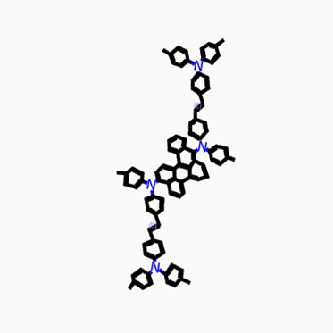 Cc1ccc(N(c2ccc(C)cc2)c2ccc(/C=C/c3ccc(N(c4ccc(C)cc4)c4ccc5c6c4cccc6c4cccc6c(N(c7ccc(C)cc7)c7ccc(/C=C/c8ccc(N(c9ccc(C)cc9)c9ccc(C)cc9)cc8)cc7)c7ccccc7c5c64)cc3)cc2)cc1